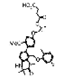 COc1cc(OC[C@H](C)OC(=O)CCC(=O)O)ccc1-c1ccc2c(c1COc1cc(F)ccc1C)N(C)C(=O)C(C)(C)N2